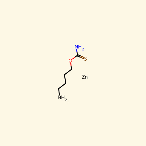 BCCCCOC(N)=S.[Zn]